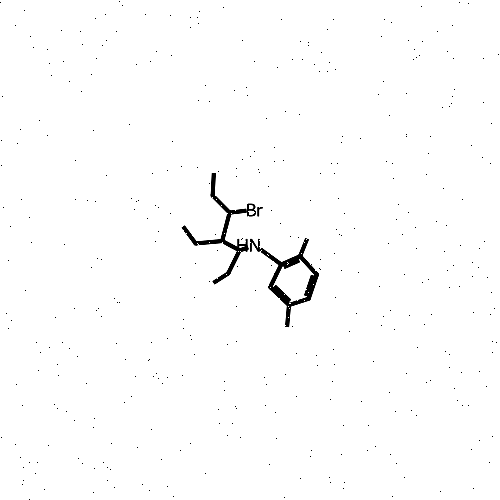 CCC(Br)C(CC)C(CC)Nc1cc(C)ccc1C